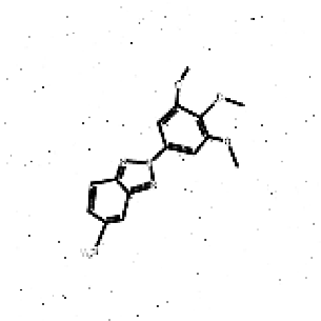 COc1cc(-n2nc3ccc(N)cc3n2)cc(OC)c1OC